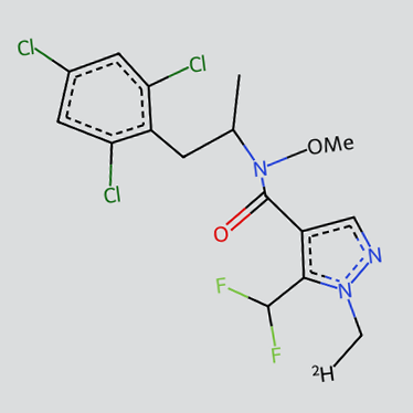 [2H]Cn1ncc(C(=O)N(OC)C(C)Cc2c(Cl)cc(Cl)cc2Cl)c1C(F)F